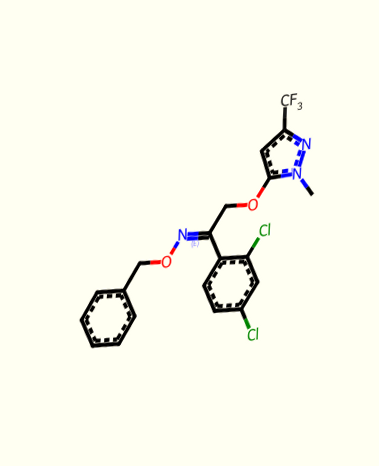 Cn1nc(C(F)(F)F)cc1OC/C(=N/OCc1ccccc1)c1ccc(Cl)cc1Cl